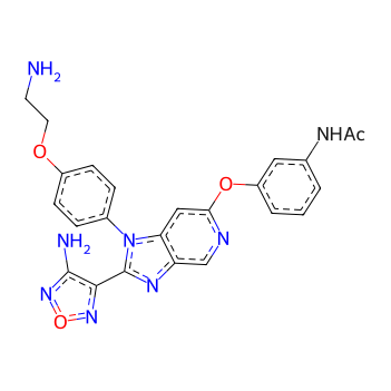 CC(=O)Nc1cccc(Oc2cc3c(cn2)nc(-c2nonc2N)n3-c2ccc(OCCN)cc2)c1